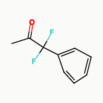 CC(=O)C(F)(F)c1ccccc1